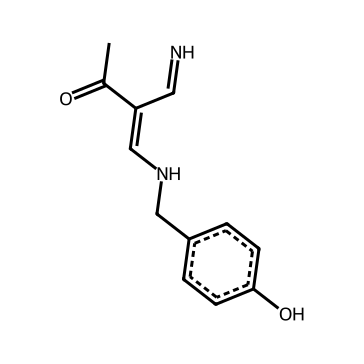 CC(=O)/C(C=N)=C/NCc1ccc(O)cc1